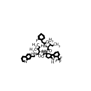 CCC(C)[C@H](NC(=O)Cc1ccccc1F)C(=O)N[C@]1(C(=O)N[C@H](C(=O)NCc2ccc3cccnc3c2)C(C)CC)CCc2[nH]c3c(C(F)(F)F)cccc3c2C1